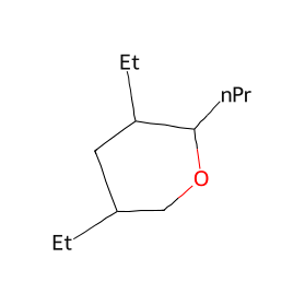 CCCC1OCC(CC)CC1CC